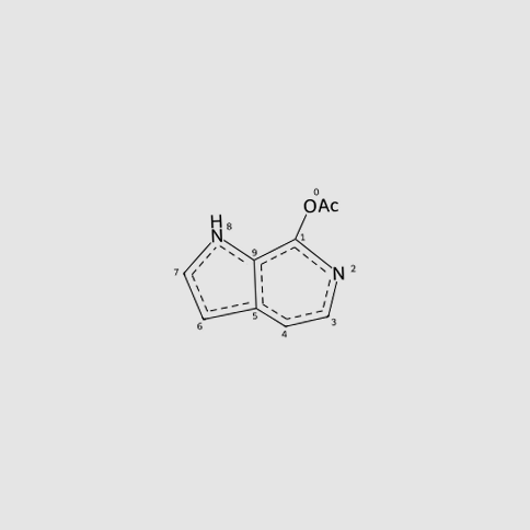 CC(=O)Oc1nccc2cc[nH]c12